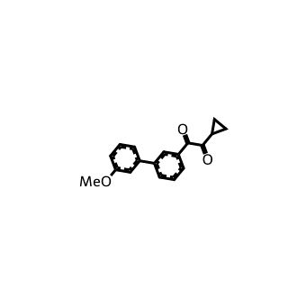 COc1cccc(-c2cccc(C(=O)C(=O)C3CC3)c2)c1